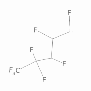 F[CH]C(F)C(F)C(F)(F)C(F)(F)F